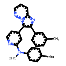 Cc1cccc(-c2nc3cccnn3c2-c2ccnc(N(C=O)c3ccc(C(C)(C)C)cc3)c2)c1